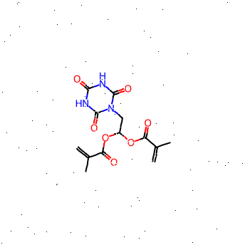 C=C(C)C(=O)OC(Cn1c(=O)[nH]c(=O)[nH]c1=O)OC(=O)C(=C)C